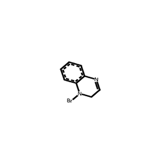 BrN1CC=Nc2ccccc21